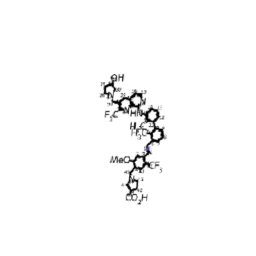 COc1cc(/C=C/c2cccc(-c3cccc(Nc4nccc5cc(CN6CC[C@@H](O)C6)c(C(F)(F)F)nc45)c3C)c2C)c(C(F)(F)F)cc1CN1CC[C@@H](C(=O)O)C1